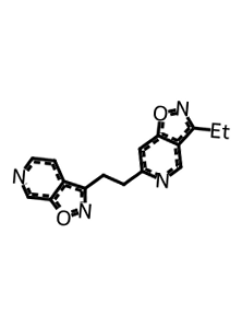 CCc1noc2cc(CCc3noc4cnccc34)ncc12